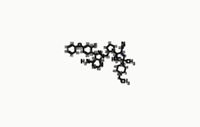 CCN1CCN(C(C)(C)/C=C(/C#N)C(=O)N2CCC[C@@H]2Cn2nc(-c3ccc(Oc4ccccc4)cc3F)c3c(N)ncnc32)CC1